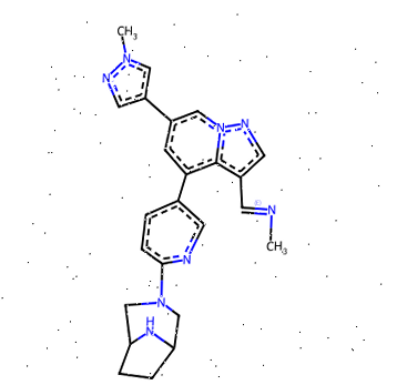 C/N=C/c1cnn2cc(-c3cnn(C)c3)cc(-c3ccc(N4CC5CCC(C4)N5)nc3)c12